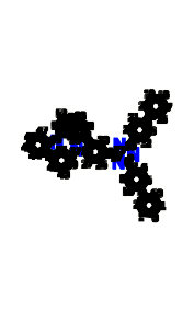 c1ccc(-c2ccc(-c3nc(-c4ccc(-c5ccccc5)cc4)nc(-c4ccc5c(c4)c4ccccc4n5-c4cccc5c6ccccc6n(-c6ccccc6)c45)n3)cc2)cc1